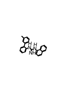 Cc1cccc(-c2ccccc2NC(=N)Nc2cccc3ccccc23)c1